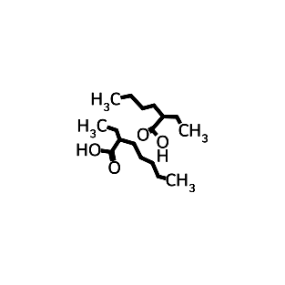 CCCCC(CC)C(=O)O.CCCCCC(CC)C(=O)O